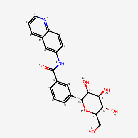 O=C(Nc1ccc2ncccc2c1)c1cccc([C@H]2O[C@H](CO)[C@@H](O)[C@H](O)[C@@H]2O)c1